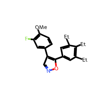 CCc1cc(-c2oncc2-c2ccc(OC)c(F)c2)cc(CC)c1CC